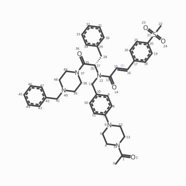 CC(=O)N1CCN(c2ccc(CN(C(=O)/C=C/c3ccc(S(C)(=O)=O)cc3)[C@@H](Cc3ccccc3)C(=O)N3CCN(Cc4ccccc4)CC3)cc2)CC1